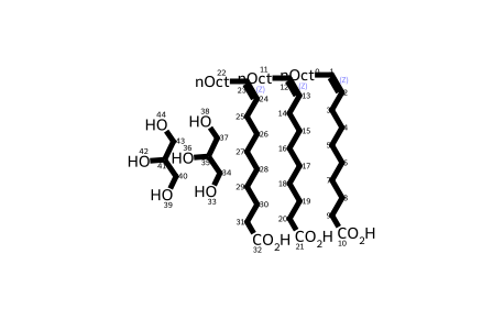 CCCCCCCC/C=C\CCCCCCCC(=O)O.CCCCCCCC/C=C\CCCCCCCC(=O)O.CCCCCCCC/C=C\CCCCCCCC(=O)O.OCC(O)CO.OCC(O)CO